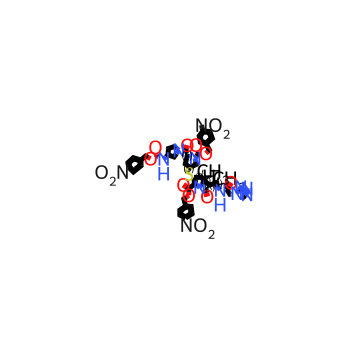 C[C@@H](NC(=O)Cn1cnnn1)[C@H]1C(=O)N2C(C(=O)OCc3ccc([N+](=O)[O-])cc3)=C(S[C@H]3C[C@@H](C(=O)N4CCC(NC(=O)OCc5ccc([N+](=O)[O-])cc5)C4)N(C(=O)OCc4ccc([N+](=O)[O-])cc4)C3)[C@H](C)[C@H]12